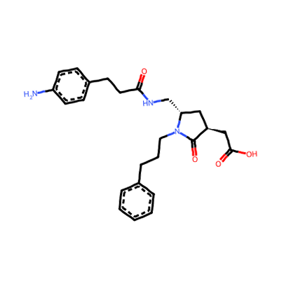 Nc1ccc(CCC(=O)NC[C@@H]2C[C@@H](CC(=O)O)C(=O)N2CCCc2ccccc2)cc1